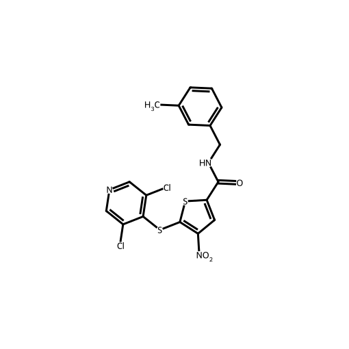 Cc1cccc(CNC(=O)c2cc([N+](=O)[O-])c(Sc3c(Cl)cncc3Cl)s2)c1